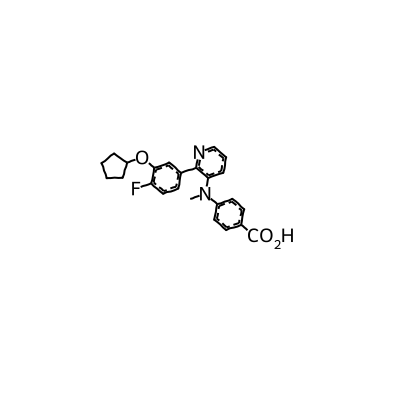 CN(c1ccc(C(=O)O)cc1)c1cccnc1-c1ccc(F)c(OC2CCCC2)c1